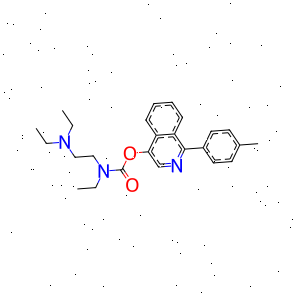 CCN(CC)CCN(CC)C(=O)Oc1cnc(-c2ccc(C)cc2)c2ccccc12